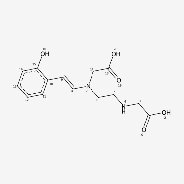 O=C(O)CNCCN(C=Cc1ccccc1O)CC(=O)O